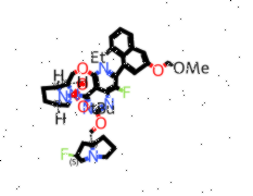 CCc1cccc2cc(OCOC)cc(-c3nc4c5c(nc(OC[C@]67CCCN6C[C@@H](F)C7)nc5c3F)N3C[C@H]5CC[C@@H]([C@H]3CO4)N5C(=O)OC(C)(C)C)c12